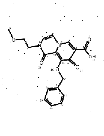 COCCn1ccn2cc(C(=O)O)c(=O)c(OCc3ccccc3)c2c1=O